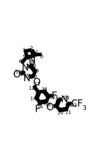 CC1C2CC3(C2)Cn2c(cc(OCc4cc(F)c(Oc5ccc(C(F)(F)F)nc5)c(F)c4)nc2=O)N13